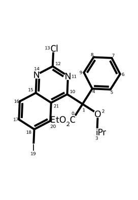 CCOC(=O)C(OC(C)C)(c1ccccc1)c1nc(Cl)nc2ccc(I)cc12